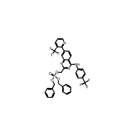 O=P(OCc1ccccc1)(OCc1ccccc1)OCc1nc(Nc2ccc(C(F)(F)F)cc2)c2ccc(-c3ncccc3C(F)(F)F)cc2n1